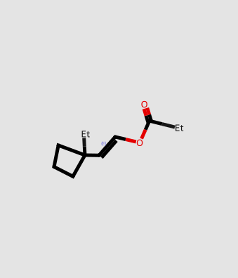 CCC(=O)O/C=C/C1(CC)CCC1